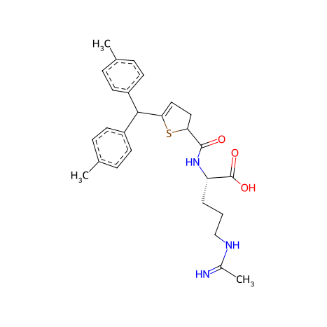 CC(=N)NCCC[C@H](NC(=O)C1CC=C(C(c2ccc(C)cc2)c2ccc(C)cc2)S1)C(=O)O